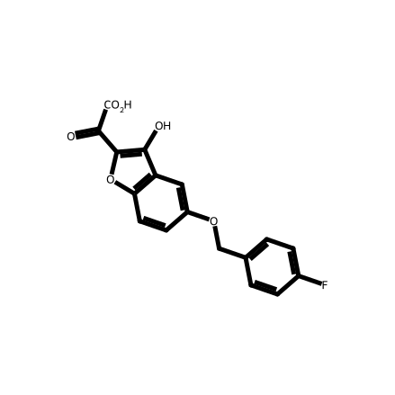 O=C(O)C(=O)c1oc2ccc(OCc3ccc(F)cc3)cc2c1O